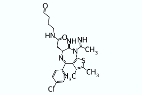 CC(=N)N1C(=N)[C@H](CC(=O)NCCCC=O)N=C(c2ccc(Cl)cc2)c2c1sc(C)c2C